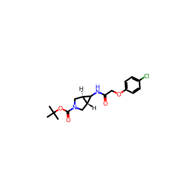 CC(C)(C)OC(=O)N1C[C@H]2C(NC(=O)COc3ccc(Cl)cc3)[C@@H]2C1